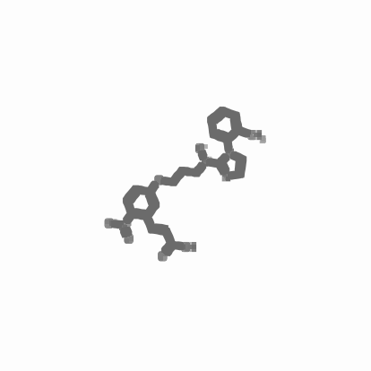 Cc1ccccc1-n1ccnc1[S+]([O-])CCCOc1ccc([N+](=O)[O-])c(C=CC(=O)O)c1